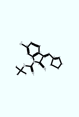 CC(C)(C)OC(=O)N1C(=O)C(=CC2=CCCC2)c2ccc(Cl)cc21